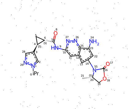 CC(C)n1cc([C@H]2C[C@@H]2C(=O)Nc2cc3cc(N4C(=O)OC[C@@H]4C)cc(N)c3nn2)cn1